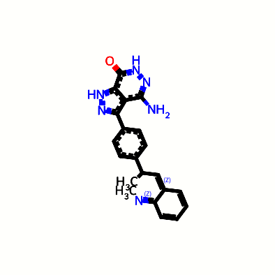 C/N=C1/C=CC=C/C1=C/C(C)c1ccc(-c2n[nH]c3c(=O)[nH]nc(N)c23)cc1